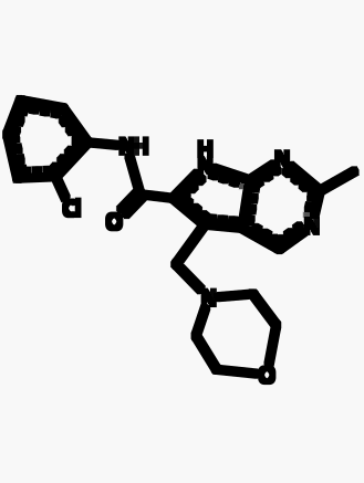 Cc1ncc2c(CN3CCOCC3)c(C(=O)Nc3ccccc3Cl)[nH]c2n1